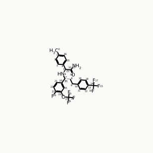 Cc1ccc([C@H](N[C@H](CCc2ccc(C(F)(F)F)cc2)c2ccc(F)c(OC(F)(F)F)c2)C(N)=O)cc1